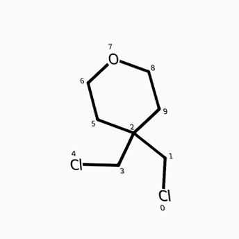 ClCC1(CCl)CCOCC1